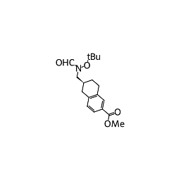 COC(=O)c1ccc2c(c1)CC[C@H](CN(C=O)OC(C)(C)C)C2